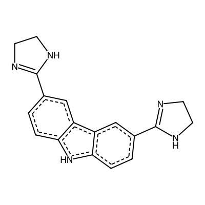 c1cc2[nH]c3ccc(C4=NCCN4)cc3c2cc1C1=NCCN1